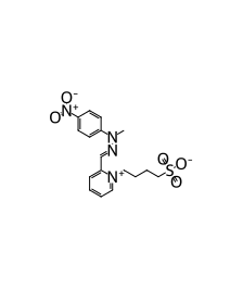 CN(/N=C/c1cccc[n+]1CCCCS(=O)(=O)[O-])c1ccc([N+](=O)[O-])cc1